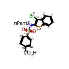 CCCCCN(c1sc2ccccc2c1Br)S(=O)(=O)c1ccc(C(=O)O)cc1